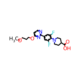 COCCCOc1ccnc(-c2cc(F)c(N3CCC(C(=O)O)CC3)c(F)c2)n1